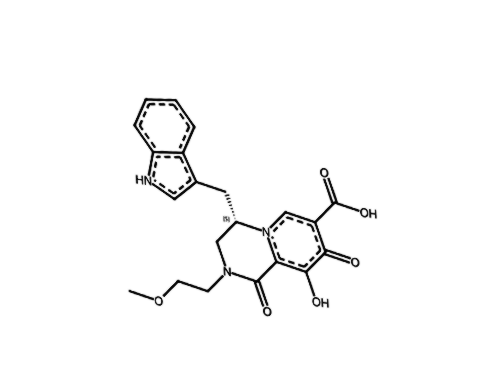 COCCN1C[C@H](Cc2c[nH]c3ccccc23)n2cc(C(=O)O)c(=O)c(O)c2C1=O